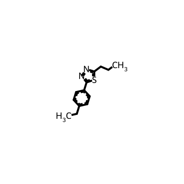 CCCc1nnc(-c2ccc(CC)cc2)s1